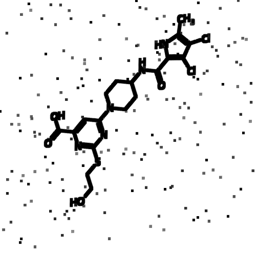 Cc1[nH]c(C(=O)NC2CCN(c3cc(C(=O)O)nc(SCCO)n3)CC2)c(Cl)c1Cl